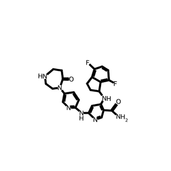 NC(=O)c1cnc(Nc2ccc(N3CCNCCC3=O)cn2)cc1NC1CCc2c(F)ccc(F)c21